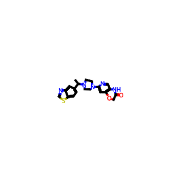 CC(c1ccc2scnc2c1)N1CCN(c2cc3c(cn2)NC(=O)CO3)CC1